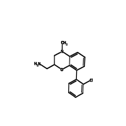 CN1CC(CN)Oc2c(-c3ccccc3Cl)cccc21